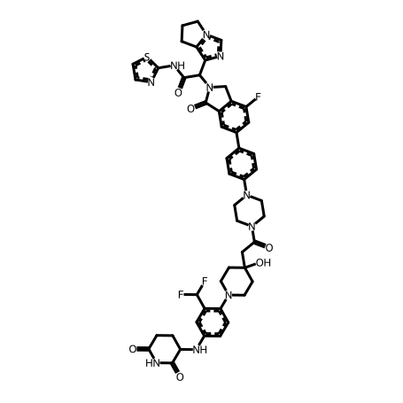 O=C1CCC(Nc2ccc(N3CCC(O)(CC(=O)N4CCN(c5ccc(-c6cc(F)c7c(c6)C(=O)N(C(C(=O)Nc6nccs6)c6ncn8c6CCC8)C7)cc5)CC4)CC3)c(C(F)F)c2)C(=O)N1